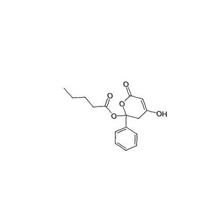 CCCCC(=O)OC1(c2ccccc2)CC(O)=CC(=O)O1